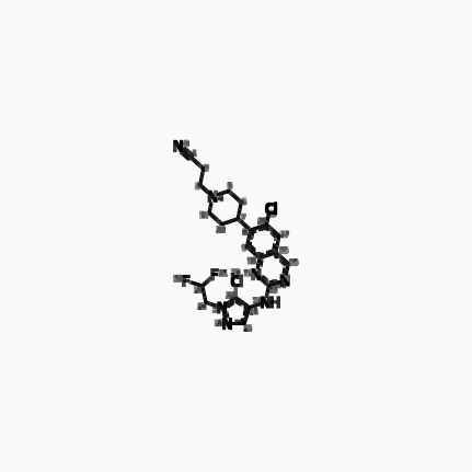 N#CCCN1CCC(c2cc3nc(Nc4cnn(CC(F)F)c4Cl)ncc3cc2Cl)CC1